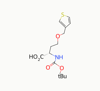 CC(C)(C)OC(=O)N[C@@H](CCOCc1ccsc1)C(=O)O